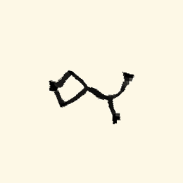 F[C](F)C1CSC1